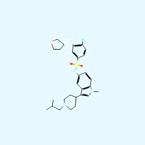 CC(C)CN1CCC(c2cn(C)c3ccc(NS(=O)(=O)c4ccc(F)c(O[C@@H]5CCOC5)c4)cc23)CC1